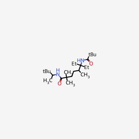 CCC(CC)(NC(=O)C(C)(C)C)C(C)CCC(C)(C)C(=O)NC(C)C(C)(C)C